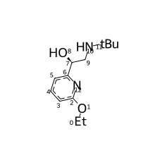 CCOc1cccc([C@@H](O)CNC(C)(C)C)n1